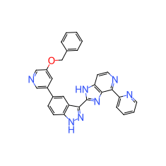 c1ccc(COc2cncc(-c3ccc4[nH]nc(-c5nc6c(-c7ccccn7)nccc6[nH]5)c4c3)c2)cc1